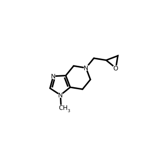 Cn1cnc2c1CCN(CC1CO1)C2